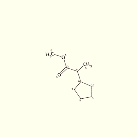 COC(=O)C(C)C1CCCC1